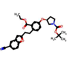 CCOC(=O)c1cc(O[C@H]2CCN(C(=O)OC(C)(C)C)C2)ccc1CCc1cc2cc(C#N)ccc2o1